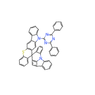 c1ccc(-c2nc(-c3ccccc3)nc(-n3c4ccccc4c4cc5c(cc43)C3(c4ccccc4S5)c4ccccc4-n4c5ccccc5c5cccc3c54)n2)cc1